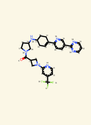 O=C(C1CN(c2cc(C(F)(F)F)ccn2)C1)N1CCC(NC2CC=C(c3ccc(-c4ncccn4)cn3)CC2)C1